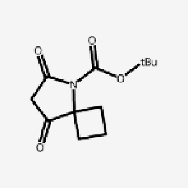 CC(C)(C)OC(=O)N1C(=O)CC(=O)C12CCC2